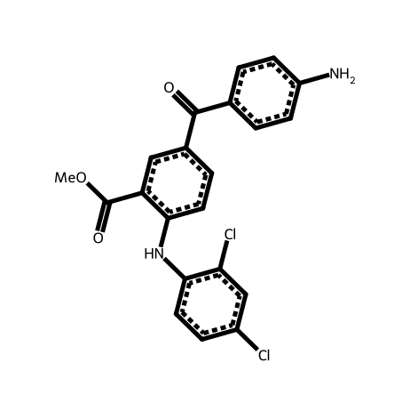 COC(=O)c1cc(C(=O)c2ccc(N)cc2)ccc1Nc1ccc(Cl)cc1Cl